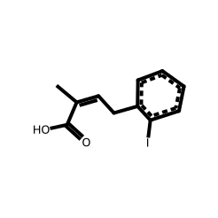 CC(=CCc1ccccc1I)C(=O)O